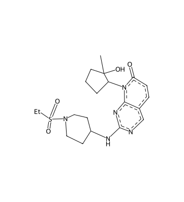 CCS(=O)(=O)N1CCC(Nc2ncc3ccc(=O)n(C4CCCC4(C)O)c3n2)CC1